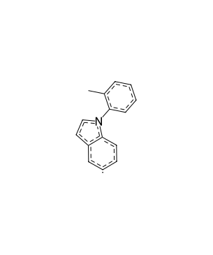 Cc1ccccc1-n1ccc2c[c]ccc21